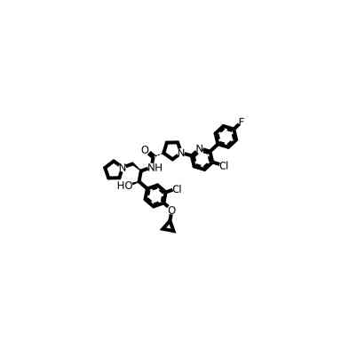 O=C(N[C@H](CN1CCCC1)[C@H](O)c1ccc(OC2CC2)c(Cl)c1)[C@@H]1CCN(c2ccc(Cl)c(-c3ccc(F)cc3)n2)C1